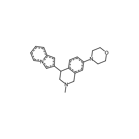 CN1Cc2cc(N3CCOCC3)ccc2C(c2cc3ccccn3c2)C1